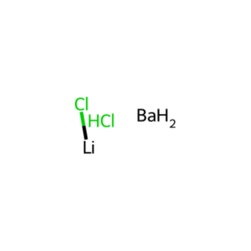 Cl.[BaH2].[Li][Cl]